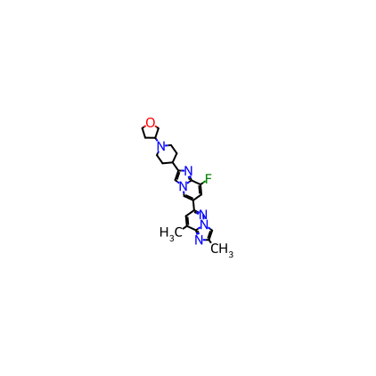 Cc1cn2nc(-c3cc(F)c4nc(C5CCN(C6CCOC6)CC5)cn4c3)cc(C)c2n1